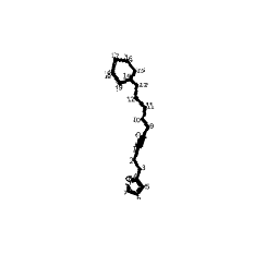 C(#CCCc1cccs1)CCCCCC1CCCCC1